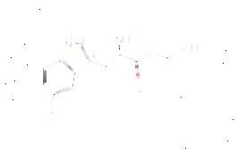 CCOC(=O)[C@H](N)Cc1c[nH]c2ccc(Br)cc12